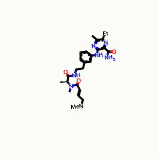 CCc1nc(C(N)=O)c(Nc2cccc(CCNC(=O)[C@H](C)N(C)C(=O)/C=C/CNC)c2)nc1C